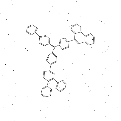 c1ccc(-c2ccc(N(c3ccc(-c4ccc(-c5ccccc5)c(-c5ccccc5)c4)cc3)c3ccc(-c4cc5ccccc5c5ccccc45)cc3)cc2)cc1